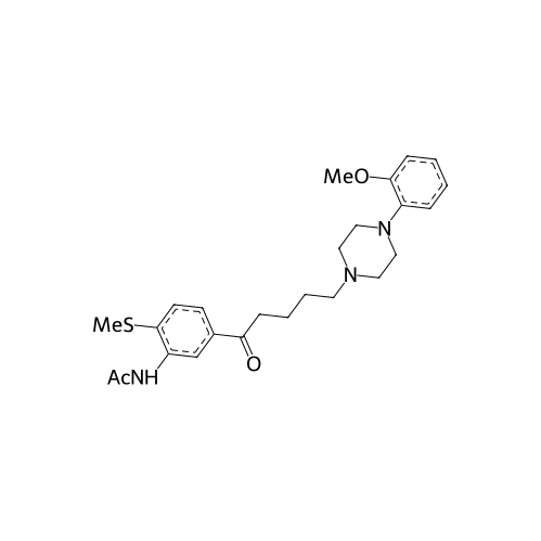 COc1ccccc1N1CCN(CCCCC(=O)c2ccc(SC)c(NC(C)=O)c2)CC1